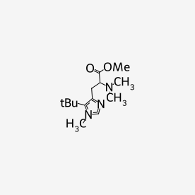 COC(=O)C(Cc1ncn(C)c1C(C)(C)C)N(C)C